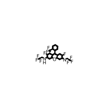 Fc1cc2c(-c3ccccc3C(F)(F)F)c3cc(F)/c(=N\CC(F)(F)F)cc-3oc2cc1NCC(F)(F)F